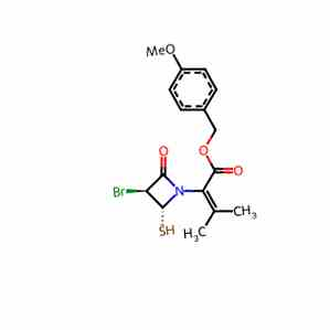 COc1ccc(COC(=O)C(=C(C)C)N2C(=O)[C@H](Br)[C@H]2S)cc1